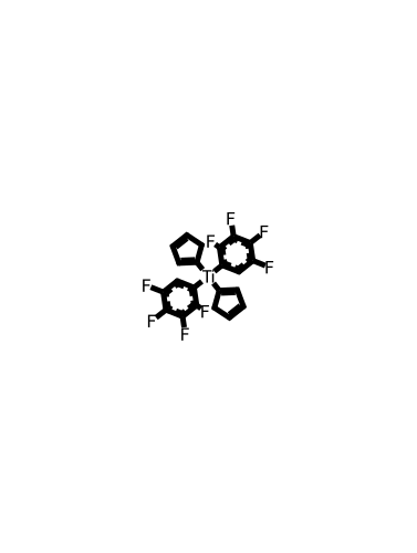 Fc1c[c]([Ti]([C]2=CC=CC2)([C]2=CC=CC2)[c]2cc(F)c(F)c(F)c2F)c(F)c(F)c1F